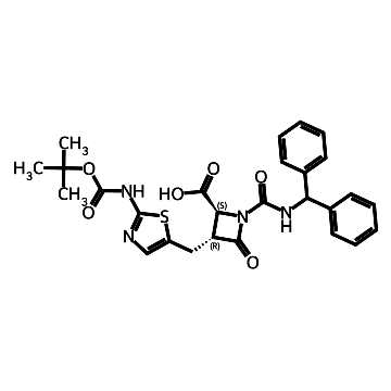 CC(C)(C)OC(=O)Nc1ncc(C[C@H]2C(=O)N(C(=O)NC(c3ccccc3)c3ccccc3)[C@@H]2C(=O)O)s1